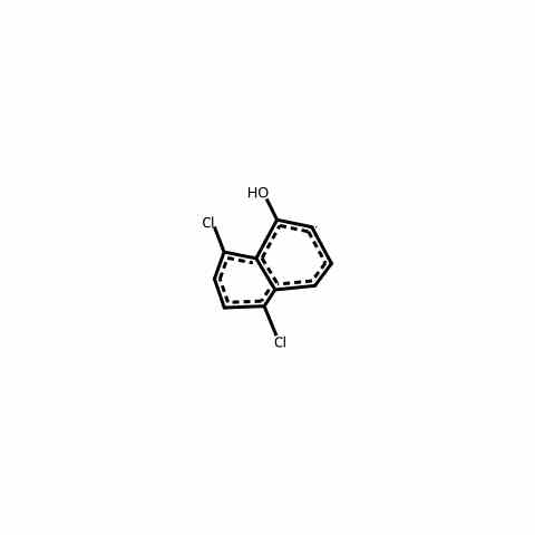 Oc1[c]ccc2c(Cl)ccc(Cl)c12